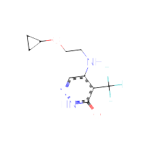 C[C@@H](COC1CC1)Nc1cn[nH]c(=O)c1C(F)(F)F